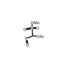 COS(=O)(=O)C(OC(C)=O)P=O